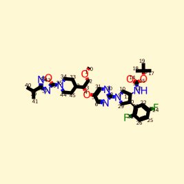 COCC(Oc1cnc(N2C[C@H](NC(=O)OC(C)(C)C)[C@@H](c3cc(F)ccc3F)C2)nc1)C1CCN(c2nc(C(C)C)no2)CC1